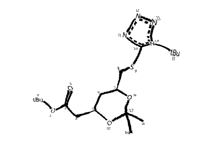 CC(C)(C)OC(=O)C[C@H]1C[C@@H](CSc2nnnn2C(C)(C)C)OC(C)(C)O1